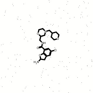 NC1Cc2cc(Cl)cc(C(=O)NCC3CN(CC4CCOCC4)CCO3)c2O1